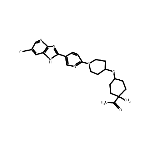 CC(=O)C1(C)CCC(OC2CCN(c3ccc(-c4nc5ncc(Cl)cc5[nH]4)cn3)CC2)CC1